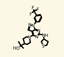 CC(C)(O)C1CCN(c2nc(NC3CCSC3)nc3c2cnn3-c2cccc(C(F)(F)F)c2)CC1